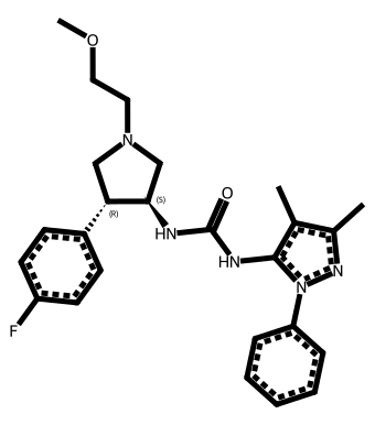 COCCN1C[C@@H](NC(=O)Nc2c(C)c(C)nn2-c2ccccc2)[C@H](c2ccc(F)cc2)C1